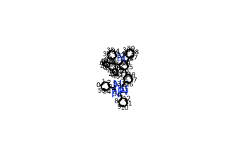 c1ccc(-c2nc(-c3ccccc3)nc(-c3cccc(-c4cc5c6c(c4)c4ccccc4n6-c4ccccc4C54c5ccccc5-c5ccccc54)c3)n2)cc1